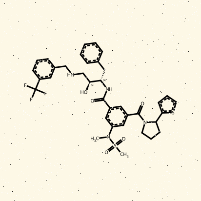 CN(c1cc(C(=O)N[C@@H](Cc2ccccc2)[C@@H](O)CNCc2cccc(C(F)(F)F)c2)cc(C(=O)N2CCCC2c2cccs2)c1)S(C)(=O)=O